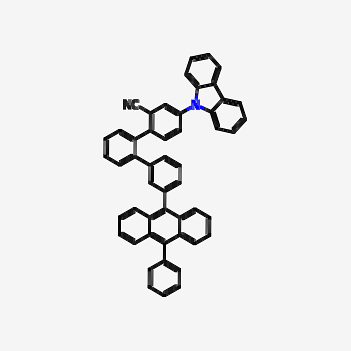 N#Cc1cc(-n2c3ccccc3c3ccccc32)ccc1-c1ccccc1-c1cccc(-c2c3ccccc3c(-c3ccccc3)c3ccccc23)c1